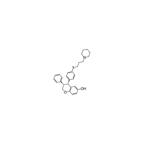 Oc1ccc2c(c1)[C@H](c1ccc(SCCCN3CCCCC3)cc1)[C@H](c1ccccc1)CO2